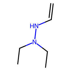 C=CNN(CC)CC